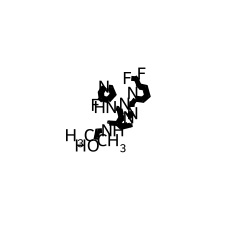 CC(C)(O)CNCc1ccn2nc(-c3cccc(C(F)F)n3)nc(Nc3ccncc3F)c12